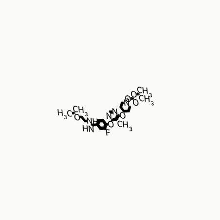 Cc1c(Oc2ccc(C(=N)NCCOC(C)C)cc2F)ncnc1OC1CCN(OC(=O)OC(C)C)CC1